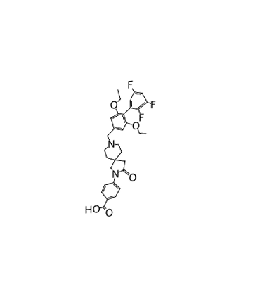 CCOc1cc(CN2CCC3(CC2)CC(=O)N(c2ccc(C(=O)O)cc2)C3)cc(OCC)c1-c1cc(F)cc(F)c1F